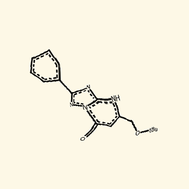 CC(C)(C)OCc1cc(=O)n2nc(-c3ccccc3)nc2[nH]1